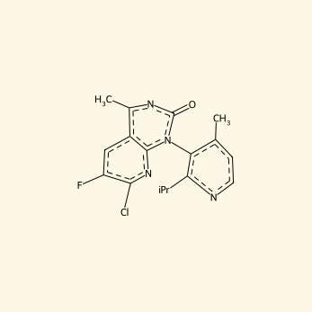 Cc1ccnc(C(C)C)c1-n1c(=O)nc(C)c2cc(F)c(Cl)nc21